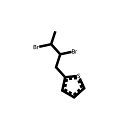 CC(Br)C(Br)Cc1cccs1